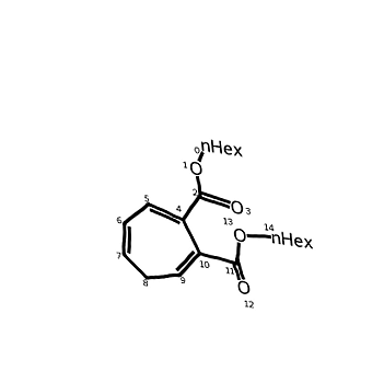 CCCCCCOC(=O)C1=CC=CCC=C1C(=O)OCCCCCC